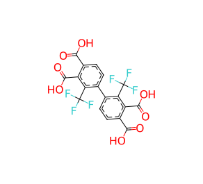 O=C(O)c1ccc(-c2ccc(C(=O)O)c(C(=O)O)c2C(F)(F)F)c(C(F)(F)F)c1C(=O)O